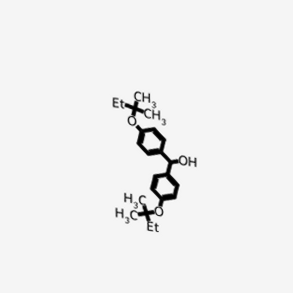 CCC(C)(C)Oc1ccc(C(O)c2ccc(OC(C)(C)CC)cc2)cc1